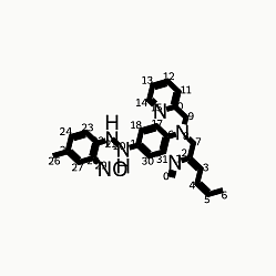 C=N/C(=C\C=C/C)CN(Cc1ccccn1)c1ccc(NNc2ccc(C)cc2N=O)cc1